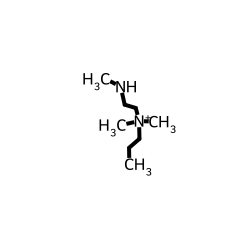 CCC[N+](C)(C)CCNC